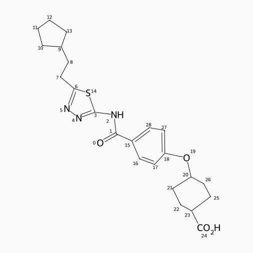 O=C(Nc1nnc(CCC2CCCC2)s1)c1ccc(OC2CCC(C(=O)O)CC2)cc1